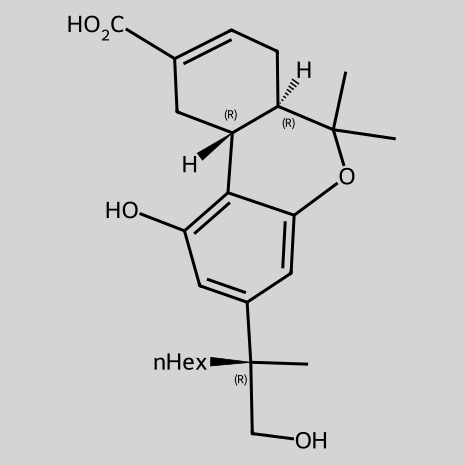 CCCCCC[C@@](C)(CO)c1cc(O)c2c(c1)OC(C)(C)[C@@H]1CC=C(C(=O)O)C[C@@H]21